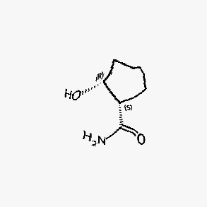 NC(=O)[C@H]1CCC[C@H]1O